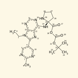 CCn1c(-c2cnc(C)nc2)nc2c(N[C@]3(C(=O)OC(=O)OC(C)(C)C)CCCN3)ncnc21